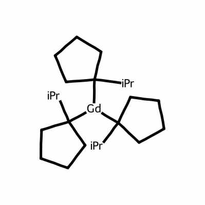 CC(C)[C]1([Gd]([C]2(C(C)C)CCCC2)[C]2(C(C)C)CCCC2)CCCC1